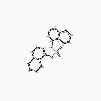 OP(=S)(Oc1cccc2ccccc12)Oc1cccc2ccccc12